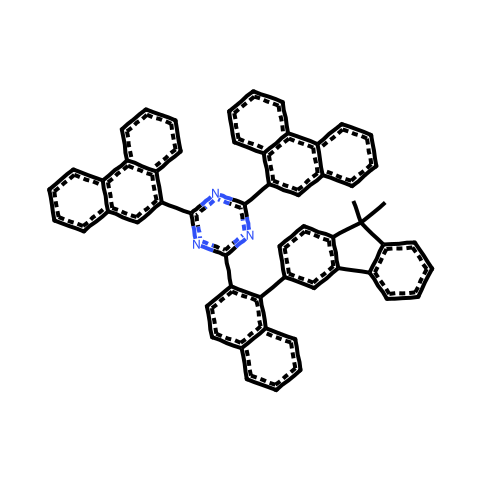 CC1(C)c2ccccc2-c2cc(-c3c(-c4nc(-c5cc6ccccc6c6ccccc56)nc(-c5cc6ccccc6c6ccccc56)n4)ccc4ccccc34)ccc21